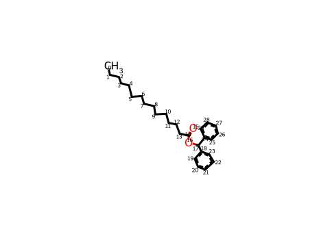 CCCCCCCCCCCCCCC(=O)OC(c1ccccc1)c1ccccc1